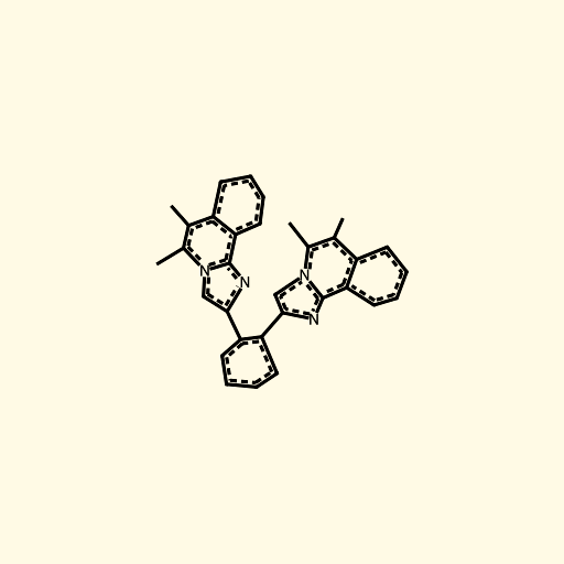 Cc1c(C)n2cc(-c3ccccc3-c3cn4c(C)c(C)c5ccccc5c4n3)nc2c2ccccc12